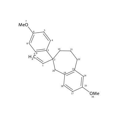 C=CC1(c2ccc(OC)cc2)CCCc2cc(OC)ccc2C1